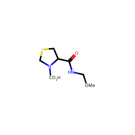 COCNC(=O)C1CSCN1C(=O)O